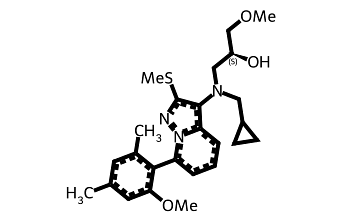 COC[C@@H](O)CN(CC1CC1)c1c(SC)nn2c(-c3c(C)cc(C)cc3OC)cccc12